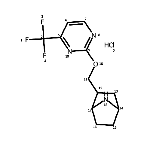 Cl.FC(F)(F)c1ccnc(OCC2CC3CCC2N3)n1